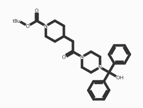 CC(C)(C)OC(=O)N1CCC(CC(=O)N2CCN(C(O)(c3ccccc3)c3ccccc3)CC2)CC1